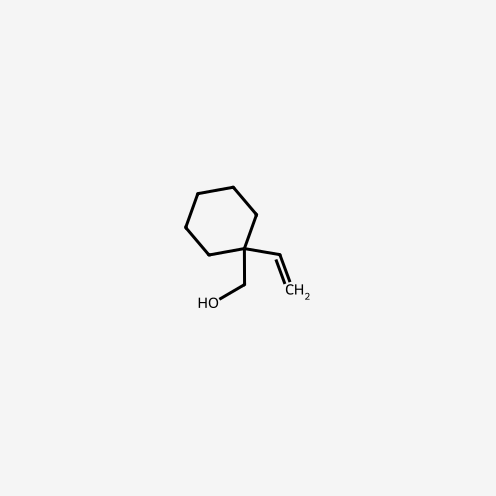 C=CC1(CO)CCCCC1